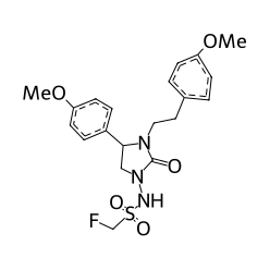 COc1ccc(CCN2C(=O)N(NS(=O)(=O)CF)CC2c2ccc(OC)cc2)cc1